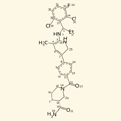 CCC(NC1=C(C)C=C(c2ccc(C(=O)N3CCC[C@@H](C(N)=O)C3)cc2)CN1)c1c(Cl)ccc(F)c1Cl